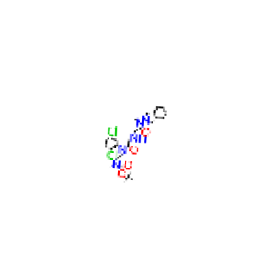 CN(CCN(C(=O)CNCC(=O)N(C)N1Cc2ccccc2C1)c1cc(Cl)ccc1Cl)C(=O)OC(C)(C)C